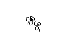 CCOC(=O)/C=C(\C)S(=O)(=O)C(F)(F)F